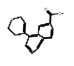 O=C(O)c1ccc2cccc(C3=CCOCC3)c2c1